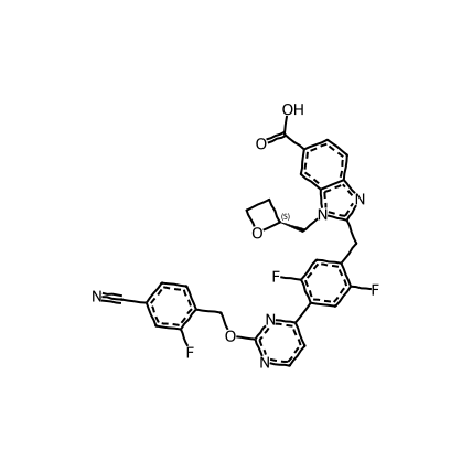 N#Cc1ccc(COc2nccc(-c3cc(F)c(Cc4nc5ccc(C(=O)O)cc5n4C[C@@H]4CCO4)cc3F)n2)c(F)c1